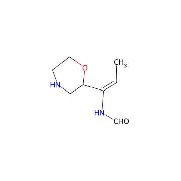 C/C=C(/N[C]=O)C1CNCCO1